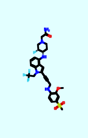 COc1cc(S(C)(=O)=O)ccc1NCC#Cc1cc2c(N[C@H]3CCN(CC(N)=O)C[C@H]3F)cccc2n1CC(F)(F)F